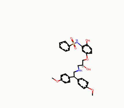 COc1ccc(C(CNC[C@H](O)COc2ccc(O)c(NS(=O)(=O)c3ccccc3)c2)c2ccc(OC)cc2)cc1